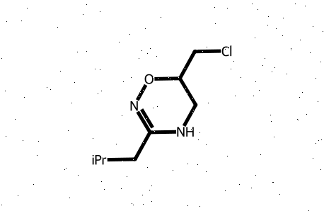 CC(C)CC1=NOC(CCl)CN1